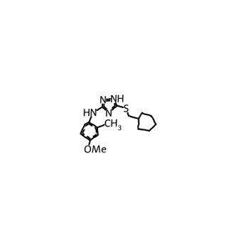 COc1ccc(Nc2n[nH]c(SCC3CCCCC3)n2)c(C)c1